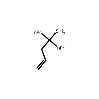 C=CCC([SiH3])(CCC)CCC